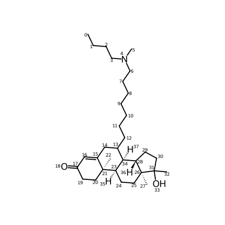 CCCCN(C)CCCCCCCC1CC2=CC(=O)CC[C@]2(C)[C@@H]2CC[C@@]3(C)[C@@H](CCC3(C)O)[C@H]12